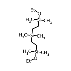 CCO[Si](C)(C)CC[Si](C)(C)CC[Si](C)(C)OCC